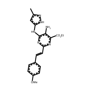 CCOC(=O)c1nc(C=Cc2ccc(OC)cc2)nc(Nc2cc(C)n[nH]2)c1N